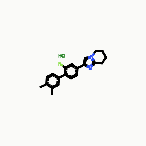 Cc1ccc(-c2ccc(-c3cn4c(n3)CCCC4)cc2F)cc1C.Cl